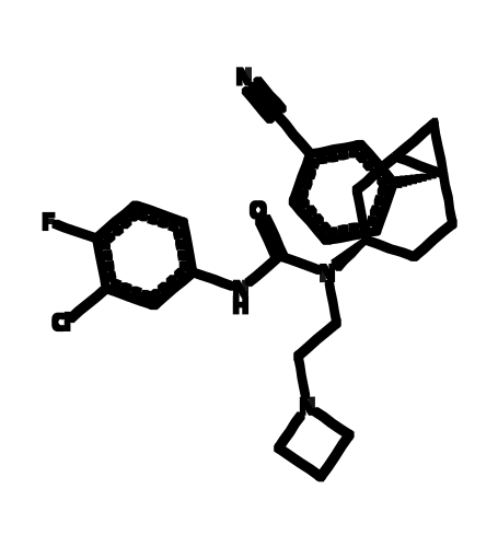 N#Cc1cccc([C@]23CC[C@@H](N(CCN4CCC4)C(=O)Nc4ccc(F)c(Cl)c4)CC2C3)c1